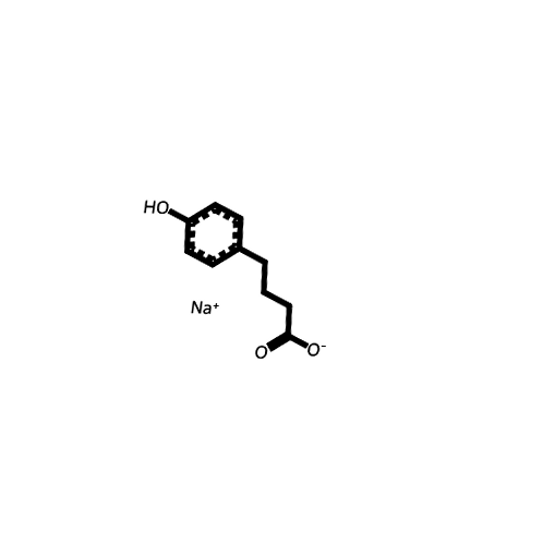 O=C([O-])CCCc1ccc(O)cc1.[Na+]